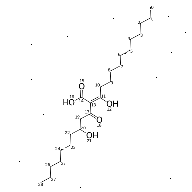 CCCCCCCCCCCC(O)=C(C(=O)O)C(=O)CC(O)CCCCCCC